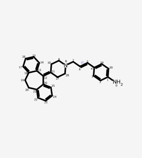 Nc1ccc(/C=C/CN2CCC(=C3c4ccccc4CCc4ccccc43)CC2)cc1